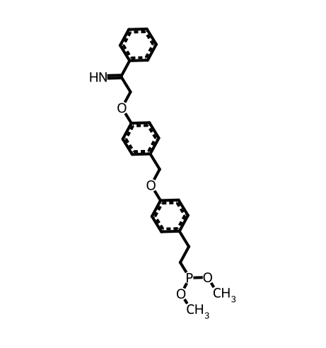 COP(CCc1ccc(OCc2ccc(OCC(=N)c3ccccc3)cc2)cc1)OC